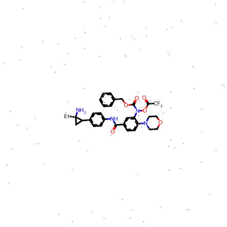 CCC1(N)CC1c1ccc(NC(=O)c2ccc(N3CCOCC3)c(N(OC(=O)C(F)(F)F)C(=O)OCc3ccccc3)c2)cc1